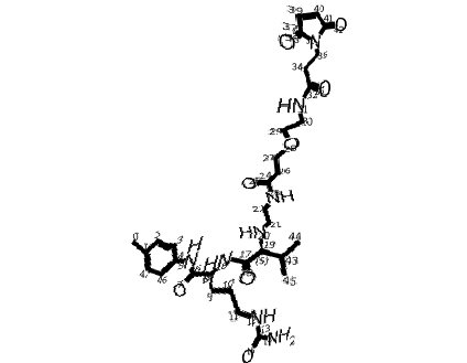 Cc1ccc(NC(=O)[C@H](CCCNC(N)=O)NC(=O)[C@@H](NCCNC(=O)CCOCCNC(=O)CCN2C(=O)C=CC2=O)C(C)C)cc1